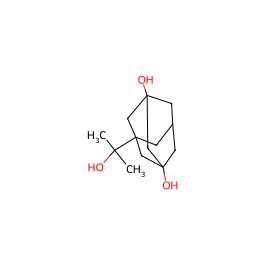 CC(C)(O)C12CC3CC(O)(CC(O)(C3)C1)C2